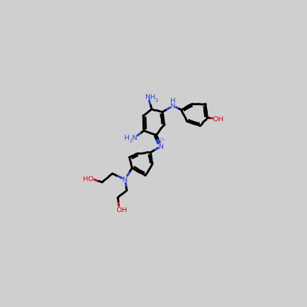 NC1=CC(N)C(Nc2ccc(O)cc2)=C/C1=N/c1ccc(N(CCO)CCO)cc1